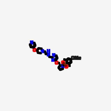 COc1cc(C)c(S(=O)(=O)N2CCC[C@H]2COc2ccnc(CNCCN3CCC(Oc4ccncc4)CC3)n2)c(C)c1